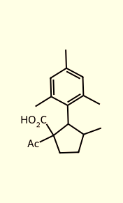 CC(=O)C1(C(=O)O)CCC(C)C1c1c(C)cc(C)cc1C